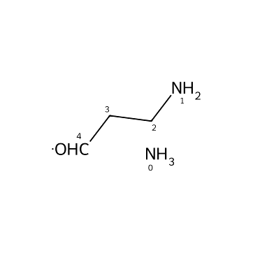 N.NCC[C]=O